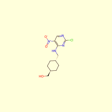 O=[N+]([O-])c1cnc(Cl)nc1NC[C@H]1CC[C@H](CO)CC1